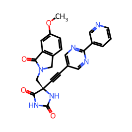 COc1ccc2c(c1)C(=O)N(C[C@@]1(C#Cc3cnc(-c4cccnc4)nc3)NC(=O)NC1=O)C2